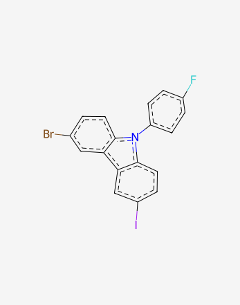 Fc1ccc(-n2c3ccc(Br)cc3c3cc(I)ccc32)cc1